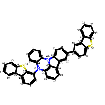 c1ccc2c(c1)N(c1cccc3c1sc1ccccc13)c1cccc3c4cc(-c5ccc6sc7ccccc7c6c5)ccc4n-2c13